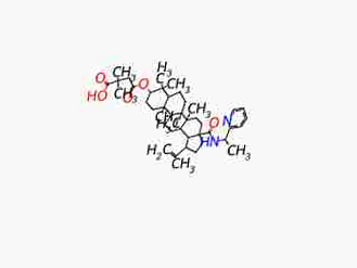 C=C(C)C1CCC2(C(=O)NC(C)c3ccccn3)CC[C@]3(C)C(CCC4C5(C)CCC(OC(=O)CC(C)(C)C(=O)O)C(C)(C)C5CCC43C)C12